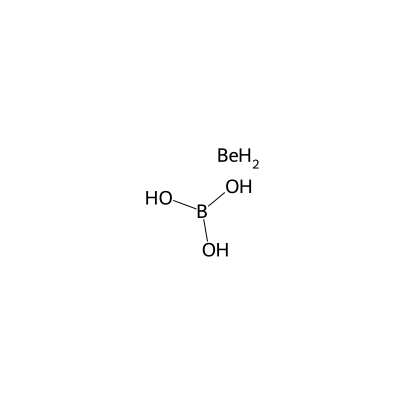 OB(O)O.[BeH2]